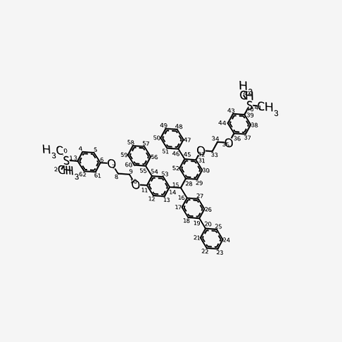 C[SH](C)c1ccc(OCCOc2ccc(C(c3ccc(-c4ccccc4)cc3)c3ccc(OCCOc4ccc([SH](C)C)cc4)c(-c4ccccc4)c3)cc2-c2ccccc2)cc1